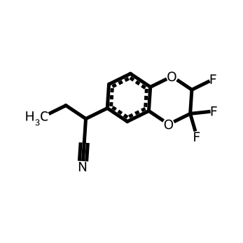 CCC(C#N)c1ccc2c(c1)OC(F)(F)C(F)O2